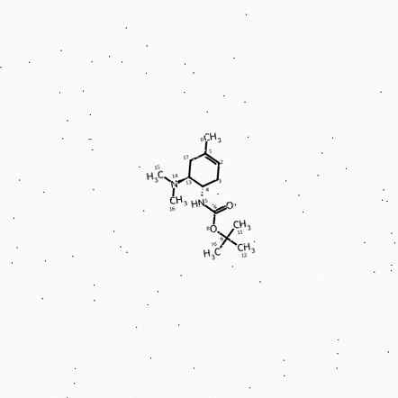 CC1=CC[C@H](NC(=O)OC(C)(C)C)[C@@H](N(C)C)C1